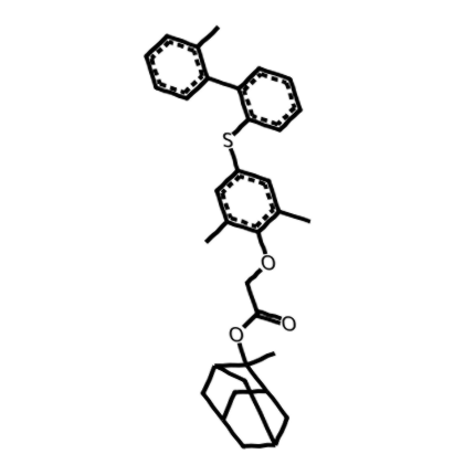 Cc1ccccc1-c1ccccc1Sc1cc(C)c(OCC(=O)OC2(C)C3CC4CC(C3)CC2C4)c(C)c1